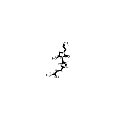 C=CCN1CC(O)N(c2nnc(CCC(C)Cl)s2)C1=O